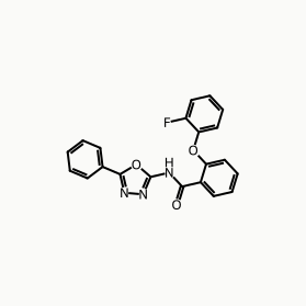 O=C(Nc1nnc(-c2ccccc2)o1)c1ccccc1Oc1ccccc1F